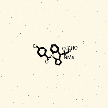 CNC(CC=O)(C(=O)O)C1c2ccccc2N(C(=O)c2ccc(Cl)cc2)C2CCCC21